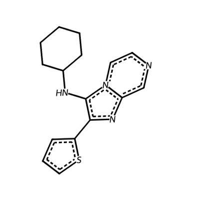 c1csc(-c2nc3cnccn3c2NC2CCCCC2)c1